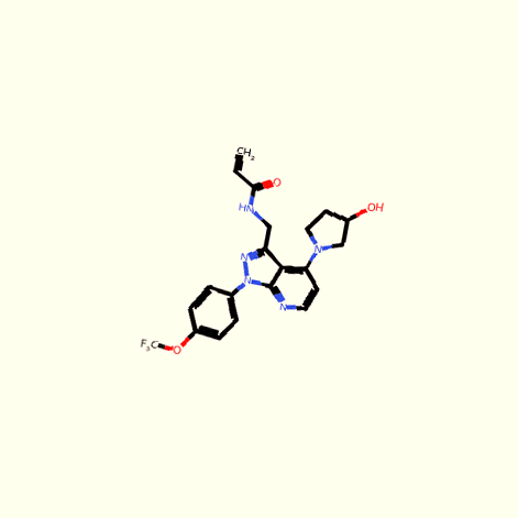 C=CC(=O)NCc1nn(-c2ccc(OC(F)(F)F)cc2)c2nccc(N3CCC(O)C3)c12